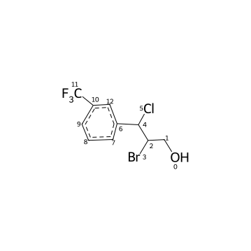 OCC(Br)C(Cl)c1cccc(C(F)(F)F)c1